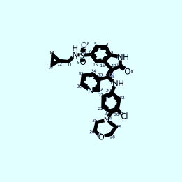 O=C1Nc2ccc(S(=O)(=O)NCC3CC3)cc2/C1=C(/Nc1ccc(N2CCOCC2)c(Cl)c1)c1cccnc1